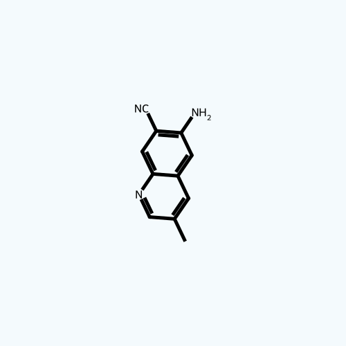 Cc1cnc2cc(C#N)c(N)cc2c1